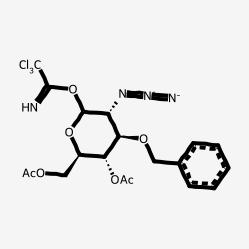 CC(=O)OC[C@H]1OC(OC(=N)C(Cl)(Cl)Cl)[C@H](N=[N+]=[N-])[C@@H](OCc2ccccc2)[C@@H]1OC(C)=O